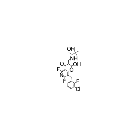 CC(C)(C)C(CO)NC=C(C(=O)O)C(=O)c1cc(Cc2cccc(Cl)c2F)c(F)nc1F